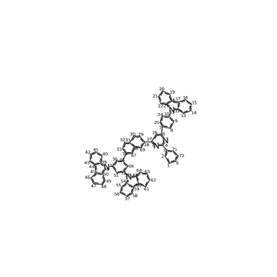 c1ccc(-c2nc(-c3ccc(-n4c5ccccc5c5ccccc54)cc3)cc(-c3ccc4ccc(-c5cc(-n6c7ccccc7c7ccccc76)cc(-n6c7ccccc7c7ccccc76)c5)cc4c3)n2)cc1